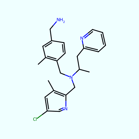 Cc1cc(CN)ccc1CN(Cc1ncc(Cl)cc1C)C(C)Cc1ccccn1